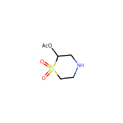 CC(=O)OC1CNCCS1(=O)=O